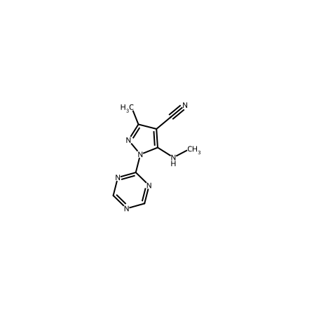 CNc1c(C#N)c(C)nn1-c1ncncn1